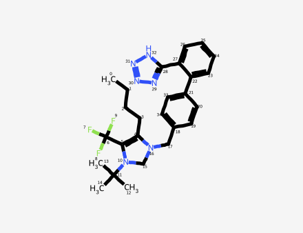 CCCCC1=C(C(F)(F)F)N(C(C)(C)C)CN1Cc1ccc(-c2ccccc2-c2nnn[nH]2)cc1